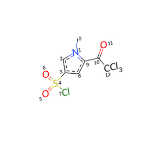 Cn1cc(S(=O)(=O)Cl)cc1C(=O)C(Cl)(Cl)Cl